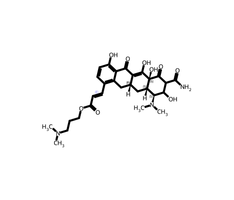 CN(C)CCCOC(=O)/C=C/c1ccc(O)c2c1C[C@H]1C[C@H]3[C@H](N(C)C)C(O)C(C(N)=O)C(=O)[C@@]3(O)C(O)=C1C2=O